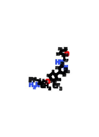 CC(C)C[C@](C)(N)COc1ccc(-c2ccnc(NCc3ccco3)c2)cc1C(F)(F)F